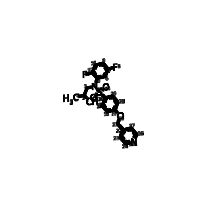 CC(C)CN(c1cc(F)ccc1F)S(=O)(=O)c1ccc(OCc2ccncc2)cc1